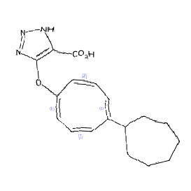 O=C(O)c1[nH]nnc1OC1=C/C=C\C(C2CCCCCC2)=C/C=C\1